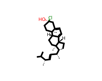 CC(C)[C@@H](C)C=C[C@@H](C)[C@H]1CC[C@H]2C3=CC=C4C[C@](O)(Cl)CC[C@]4(C)[C@H]3CC[C@]12C